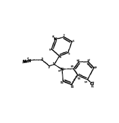 CNCCC(c1cccnc1)n1ccc2c(Cl)cccc21